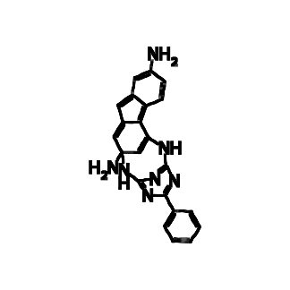 Nc1ccc2c(c1)=CC1=CC3(N)C=C(Nc4nc(nc(-c5ccccc5)n4)N3)C=21